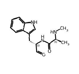 CN[C@@H](C)C(=O)N[C@H](C=O)Cc1c[nH]c2ccccc12